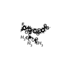 CCC(=O)OC[C@@H]1[C@@H](COc2c(N3CCN(S(=O)(=O)Cc4ccc([N+](=O)[O-])cc4)CC3)cnn(-c3cc(F)cc(F)c3)c2=O)C1(C)C